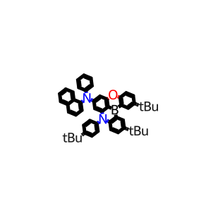 CC(C)(C)c1ccc(N2c3ccc(C(C)(C)C)cc3B3c4cc(C(C)(C)C)ccc4Oc4cc(N(c5ccccc5)c5cccc6ccccc56)cc2c43)cc1